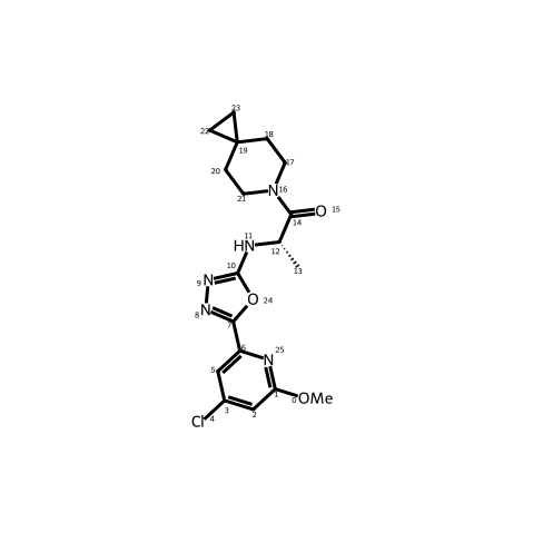 COc1cc(Cl)cc(-c2nnc(N[C@@H](C)C(=O)N3CCC4(CC3)CC4)o2)n1